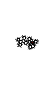 c1ccc(-c2c(-c3ccc(N(c4cccc5ccccc45)c4cccc5ccc6c7ccccc7oc6c45)cc3)c3ccccc3c3ccccc23)cc1